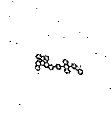 c1ccc2c(c1)-c1ccccc1C21c2cc3cc(-c4ccc(-c5c6ccccc6c(-c6ccc7oc8ccccc8c7c6)c6ccccc56)cc4)ccc3cc2-c2c1ccc1ccccc21